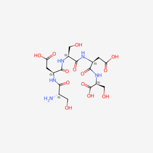 N[C@@H](CO)C(=O)N[C@@H](CC(=O)O)C(=O)N[C@@H](CO)C(=O)N[C@@H](CC(=O)O)C(=O)N[C@@H](CO)C(=O)O